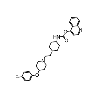 O=C(N[C@H]1CC[C@H](CCN2CCC(Oc3ccc(F)cc3)CC2)CC1)Oc1ccnc2ccccc12